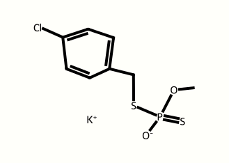 COP([O-])(=S)SCc1ccc(Cl)cc1.[K+]